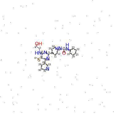 CSc1c(NCCO)nc(-c2ccc(NC(=O)Nc3ccccc3)cc2)nc1-c1cccnc1